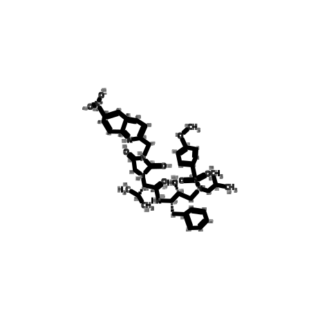 COc1ccc(S(=O)(=O)N(CC(C)C)C[C@@H](O)[C@H](Cc2ccccc2)NC(=O)[C@H](C(C)C)N2CC(=O)N(Cc3ccc4cc([N+](=O)[O-])ccc4n3)C2=O)cc1